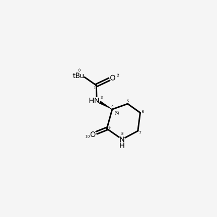 CC(C)(C)C(=O)N[C@H]1CCCNC1=O